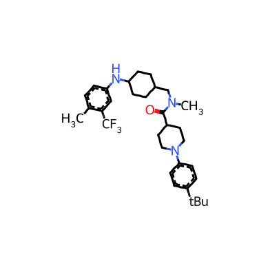 Cc1ccc(NC2CCC(CN(C)C(=O)C3CCN(c4ccc(C(C)(C)C)cc4)CC3)CC2)cc1C(F)(F)F